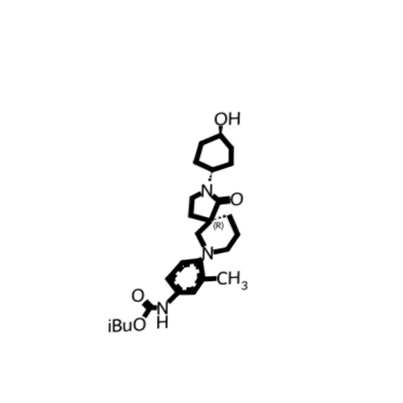 Cc1cc(NC(=O)OCC(C)C)ccc1N1CCC[C@@]2(CCN([C@H]3CC[C@H](O)CC3)C2=O)C1